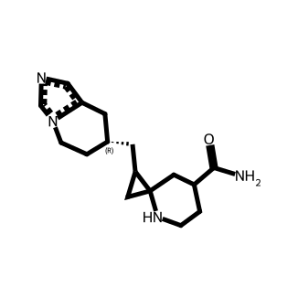 NC(=O)C1CCNC2(C1)CC2C[C@@H]1CCn2cncc2C1